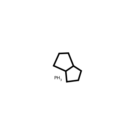 C1CC2CCCC2C1.P